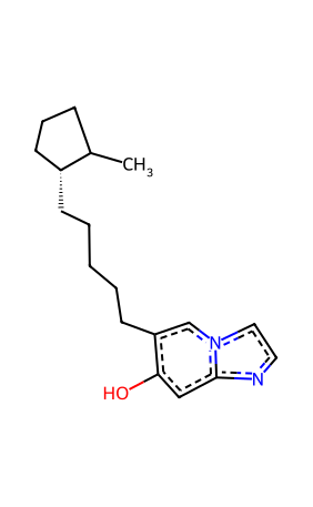 CC1CCC[C@H]1CCCCCc1cn2ccnc2cc1O